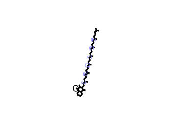 C=C1C(C/C=C(\C)CC/C=C(\C)CC/C=C(\C)CC/C=C(\C)CC/C=C(\C)CC/C=C(\C)CCC=C(C)C)=C(C)C(=O)c2ccccc21